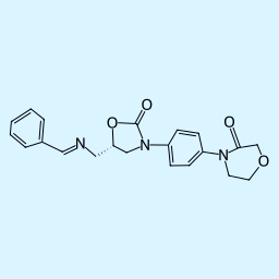 O=C1COCCN1c1ccc(N2C[C@H](CN=Cc3ccccc3)OC2=O)cc1